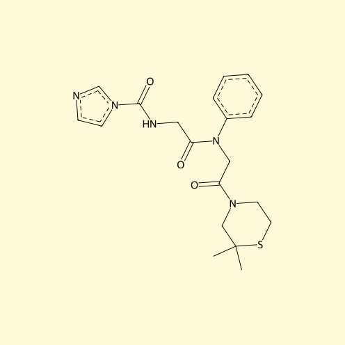 CC1(C)CN(C(=O)CN(C(=O)CNC(=O)n2ccnc2)c2ccccc2)CCS1